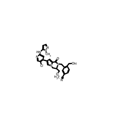 COCC1Cn2cc(-c3cc(Nc4ccnn4C)ncc3Cl)cc2C(=O)N1Cc1cc(C#N)ccc1CO